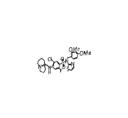 COc1ccc(CN(c2nccs2)S(=O)(=O)c2cc(Cl)c(NC[C@]34CCCCN3CCC4)cc2F)c(OC)c1